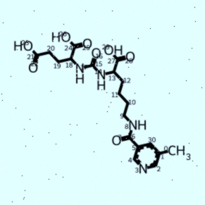 Cc1cncc(C(=O)NCCCCC(NC(=O)NC(CCC(=O)O)C(=O)O)C(=O)O)c1